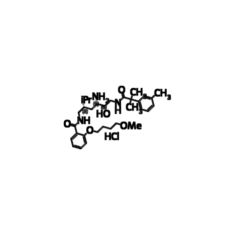 COCCCCOc1ccccc1C(=O)NC[C@@H](C[C@H](N)[C@@H](O)CNC(=O)C(C)(C)c1cccc(C)c1)C(C)C.Cl